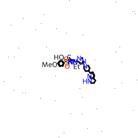 CCc1c(NCC(NS(=O)(=O)c2ccc(OC)cc2)C(=O)O)ncnc1N1CCC(c2ccc3c(n2)NCCC3)CC1